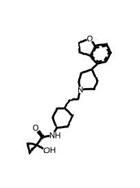 O=C(NC1CCC(CCN2CCC(c3cccc4c3CCO4)CC2)CC1)C1(O)CC1